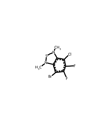 CN1SN(C)c2c(Br)c(F)c(F)c(Cl)c21